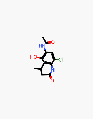 CC(=O)Nc1cc(Cl)c2c(c1O)C(C)CC(=O)N2